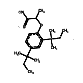 CCC(C)(C)c1ccc(OC(C)C([NH])=O)c(C(C)(C)CC)c1